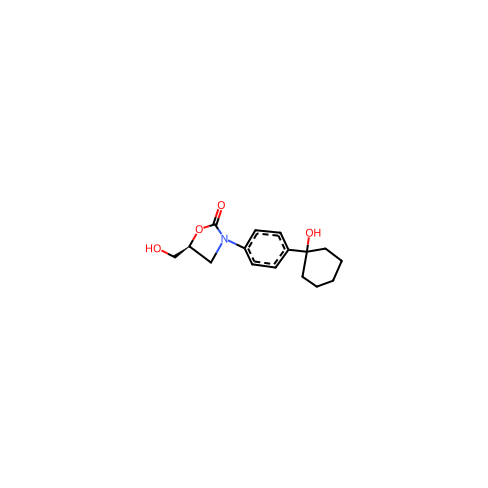 O=C1O[C@H](CO)CN1c1ccc(C2(O)CCCCC2)cc1